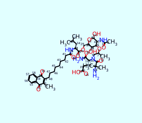 CC(=O)N[C@@H]1[C@@H](OC(C)CN(C(=O)C(C)(C)N)[C@H](CCC(=O)O)C(N)=O)[C@H](O)[C@@H](COC(=O)[C@H](CC(C)C)NC(=O)CCCCCCCCC2=C(C)C(=O)c3ccccc3C2=O)O[C@@H]1O